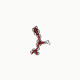 C=CC(=O)CCOC(=O)c1cc(CC(=O)C2CCC(C(=O)Oc3ccc(OC(=O)C4CCC(C(=O)Oc5ccc(C(=O)OCOC(=O)C=C)c(C(=O)OCOC(=O)C=C)c5)CC4)c4nc(-c5ccc([N+](=O)[O-])cc5)sc34)CC2)ccc1OCOC(=O)C=C